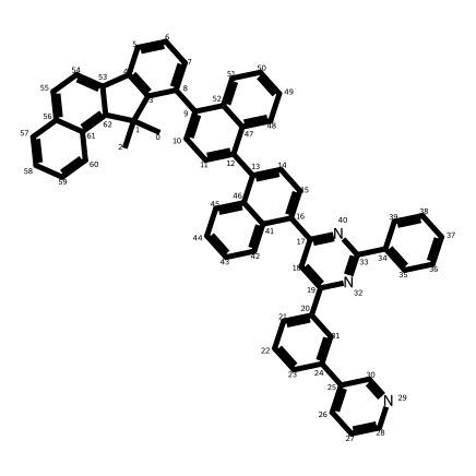 CC1(C)c2c(cccc2-c2ccc(-c3ccc(-c4cc(-c5cccc(-c6cccnc6)c5)nc(-c5ccccc5)n4)c4ccccc34)c3ccccc23)-c2ccc3ccccc3c21